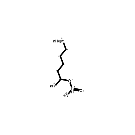 CCCCCCCCCCCC(CCC)O[PH](=O)O